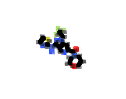 O=C(c1cc2c(cn1)c(Nc1nccs1)nn2CC(F)(F)F)N1CCCOCC1